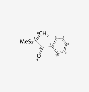 C=C(SC)C(=O)c1ccccc1